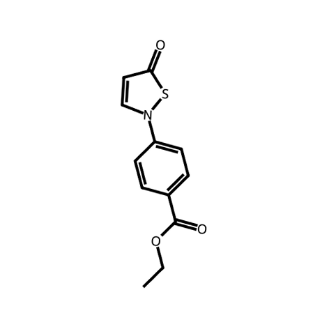 CCOC(=O)c1ccc(-n2ccc(=O)s2)cc1